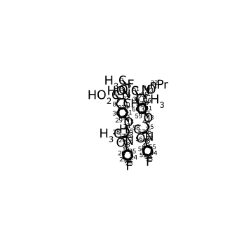 C/C(=N/OC(C)F)C(Cc1ccc(OCCc2nc(-c3ccc(F)cc3)oc2C)cc1)C(=O)O.CCCO/N=C(\C)C(Cc1ccc(OCCc2nc(-c3ccc(F)cc3)oc2C)cc1)C(=O)O